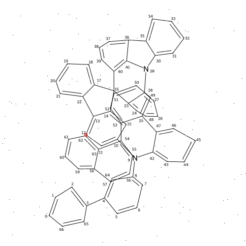 c1ccc(-c2cccc(N(c3ccc4c(c3)C3(c5ccccc5-4)c4ccccc4-n4c5ccccc5c5cccc3c54)c3ccccc3-c3ccccc3-c3cccc4ccccc34)c2)cc1